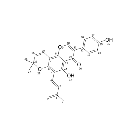 C=C(C)C=Cc1c2c(c3occ(-c4ccc(O)cc4)c(=O)c3c1O)C=CC(C)(C)O2